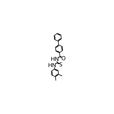 Cc1ccc(NC(=S)NC(=O)c2ccc(-c3ccccc3)cc2)cc1C